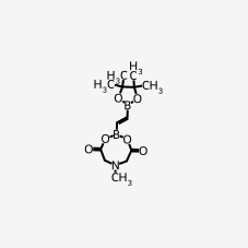 CN1CC(=O)OB(C=CB2OC(C)(C)C(C)(C)O2)OC(=O)C1